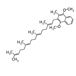 COc1c(C)c(C/C=C(\C)CC/C=C(\C)CC/C=C(\C)CCC=C(C)C)c(OC)c2ccccc12